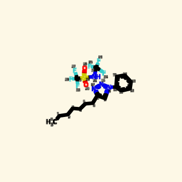 CCCCCCCc1cn(-c2ccccc2)nn1.O=S(=O)(NC(F)(F)F)C(F)(F)F